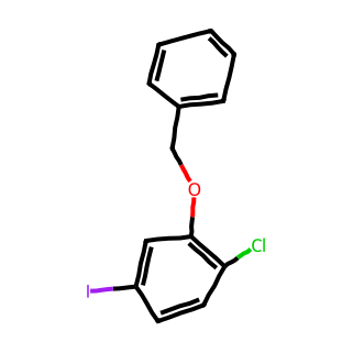 Clc1ccc(I)cc1OCc1ccccc1